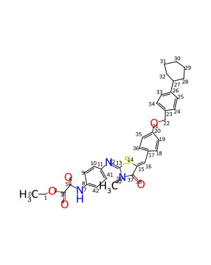 CCOC(=O)C(=O)Nc1ccc(/N=C2/S/C(=C\c3ccc(OCc4ccc(C5CCCCC5)cc4)cc3)C(=O)N2C)cc1